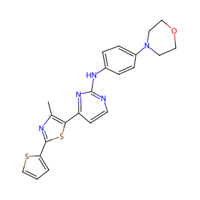 Cc1nc(-c2cccs2)sc1-c1ccnc(Nc2ccc(N3CCOCC3)cc2)n1